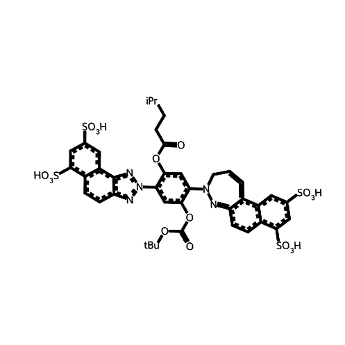 CC(C)CCC(=O)Oc1cc(N2CC=C=c3c(ccc4c(S(=O)(=O)O)cc(S(=O)(=O)O)cc34)=N2)c(OC(=O)OC(C)(C)C)cc1-n1nc2ccc3c(S(=O)(=O)O)cc(S(=O)(=O)O)cc3c2n1